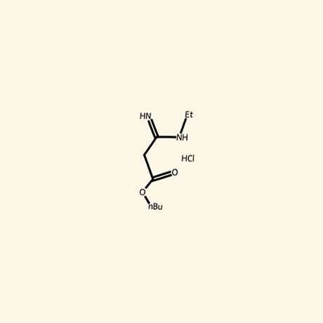 CCCCOC(=O)CC(=N)NCC.Cl